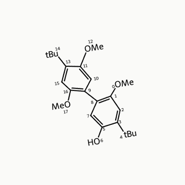 COc1cc(C(C)(C)C)c(O)cc1-c1cc(OC)c(C(C)(C)C)cc1OC